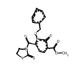 COC(=O)c1ccc(C(=O)N2CCSC2=S)n(OCc2ccccc2)c1=O